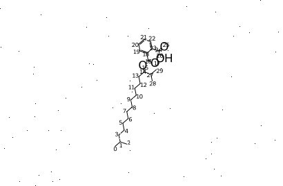 CC(C)CCCCCCCCCCCC(OC(=O)c1ccccc1C(=O)O)C(C)C